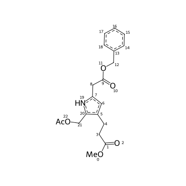 COC(=O)CCc1cc(CC(=O)OCc2ccccc2)[nH]c1COC(C)=O